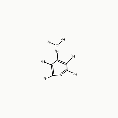 [2H]O[2H].[2H]c1nc([2H])c([2H])c([2H])c1[2H]